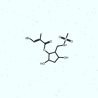 CCCCC=C(C)C(=O)OC1C(O)CC(O)C1CNS(C)(=O)=O